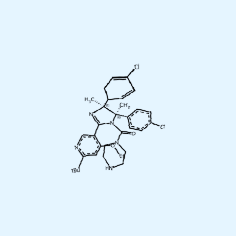 CCOc1cc(C(C)(C)C)ncc1C1=N[C@@](C)(C2C=CC(Cl)=CC2)[C@@](C)(c2ccc(Cl)cc2)N1C(=O)N1CCNCC1